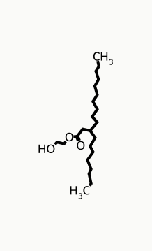 CCCCCCCCCCC(CCCCCCCC)CC(=O)OCCO